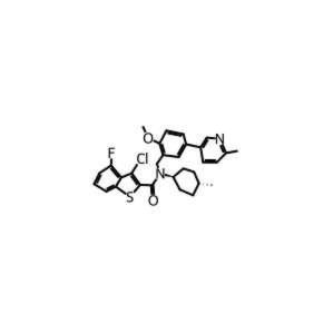 COc1ccc(-c2ccc(C)nc2)cc1CN(C(=O)c1sc2cccc(F)c2c1Cl)[C@H]1CC[C@H](C)CC1